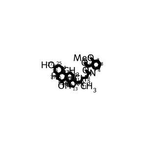 COc1cccc2nc(CC[C@@H](C)[C@H]3CC[C@H]4[C@H]5C(CC[C@]34C)[C@@]3(C)CC[C@@H](O)C[C@H]3C[C@@H]5O)oc(=O)c12